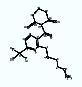 NOCCOCc1nc(C(F)(F)F)ccc1C(=O)C1C(=O)CCCC1=O